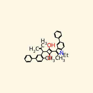 C=C(C)C(c1cc(-c2ccccc2)ccc1C)C1C(=O)C(c2c(C)n(CC)c3ccc(-c4ccccc4)cc23)=C1O